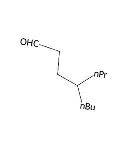 CCCCC(CCC)CCC=O